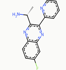 C[C@@H](N)c1nc2ccc(F)cc2nc1-c1ccccn1